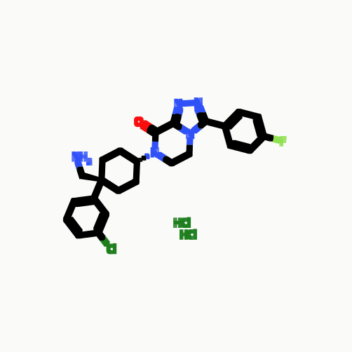 Cl.Cl.NC[C@]1(c2cccc(Cl)c2)CC[C@@H](N2CCn3c(nnc3-c3ccc(F)cc3)C2=O)CC1